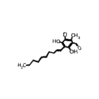 CCCCCCCCC=Cc1c(O)c(Cl)c(C)c(C=O)c1O